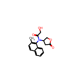 Cc1ccc2ccccc2c1N(C(=O)CO)C1COC(=O)C1